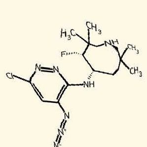 CC1(C)C[C@H](Nc2nnc(Cl)cc2N=[N+]=[N-])[C@H](F)C(C)(C)N1